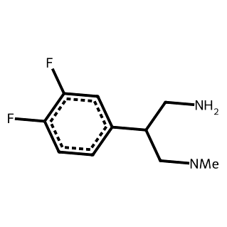 CNCC(CN)c1ccc(F)c(F)c1